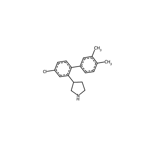 Cc1ccc(-c2ccc(Cl)cc2C2CCNC2)cc1C